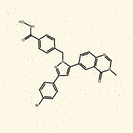 Cn1cnc2ccc(-c3cc(-c4ccc(Br)cc4)nn3Cc3ccc(C(=O)NO)cc3)cc2c1=O